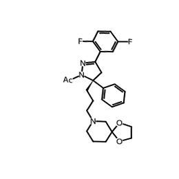 CC(=O)N1N=C(c2cc(F)ccc2F)C[C@]1(CCCN1CCCC2(C1)OCCO2)c1ccccc1